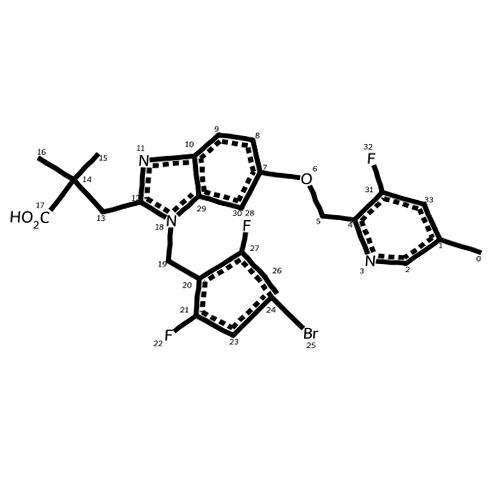 Cc1cnc(COc2ccc3nc(CC(C)(C)C(=O)O)n(Cc4c(F)cc(Br)cc4F)c3c2)c(F)c1